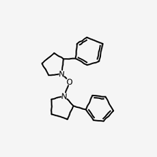 c1ccc(C2CCCN2ON2CCCC2c2ccccc2)cc1